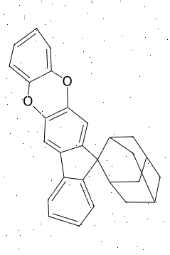 c1ccc2c(c1)Oc1cc3c(cc1O2)C1(c2ccccc2-3)C2CC3CC(C2)CC1C3